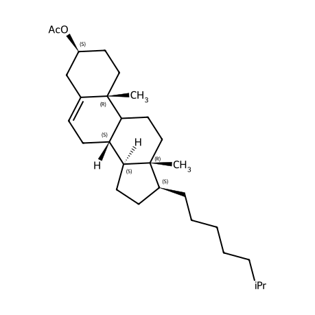 CC(=O)O[C@H]1CC[C@@]2(C)C(=CC[C@@H]3C2CC[C@]2(C)[C@@H](CCCCCC(C)C)CC[C@@H]32)C1